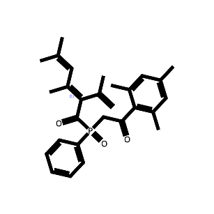 C=C(C)/C(C(=O)P(=O)(CC(=O)c1c(C)cc(C)cc1C)c1ccccc1)=C(/C)C=C(C)C